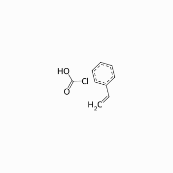 C=Cc1ccccc1.O=C(O)Cl